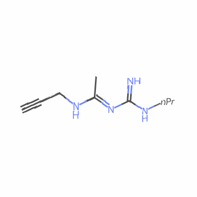 C#CCN/C(C)=N/C(=N)NCCC